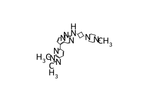 Cc1nc2ccc(-c3ccn4nc(N[C@H]5C[C@@H](N6CCN(C)CC6)C5)ncc34)nc2n1C